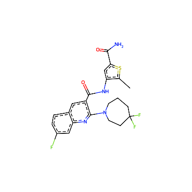 Cc1sc(C(N)=O)cc1NC(=O)c1cc2ccc(F)cc2nc1N1CCCC(F)(F)CC1